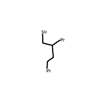 CC(C)CCC(CS)C(C)C